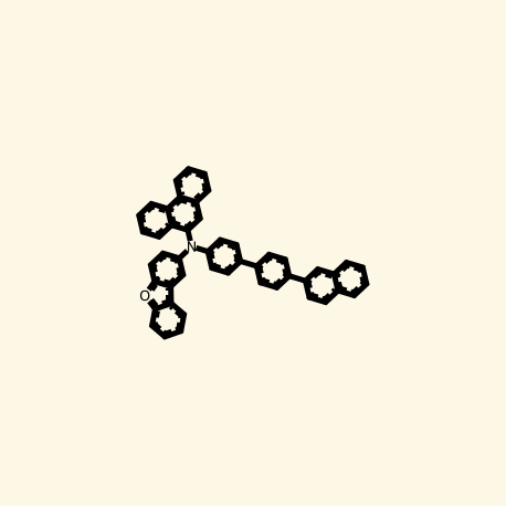 c1ccc2cc(-c3ccc(-c4ccc(N(c5ccc6oc7ccccc7c6c5)c5cc6ccccc6c6ccccc56)cc4)cc3)ccc2c1